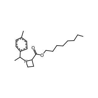 CCCCCCCCOC(=O)C1CCN1C(C)c1ccc(C)cc1